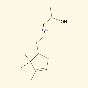 CC1=CCC(C/C=C/C(C)O)C1(C)C